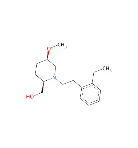 CCc1ccccc1CCN1C[C@H](OC)CC[C@@H]1CO